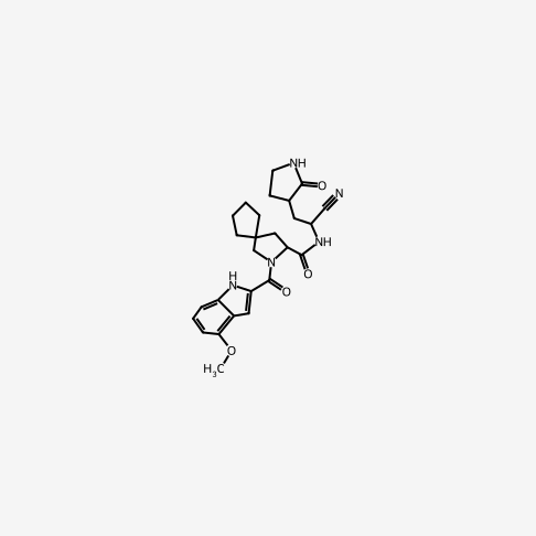 COc1cccc2[nH]c(C(=O)N3CC4(CCCC4)CC3C(=O)NC(C#N)CC3CCNC3=O)cc12